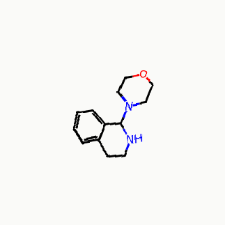 c1ccc2c(c1)CCNC2N1CCOCC1